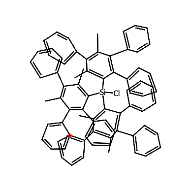 Cc1c(-c2ccccc2)c(C)c([Si](Cl)(c2c(C)c(-c3ccccc3)c(C)c(-c3ccccc3)c2-c2ccccc2)c2c(C)c(-c3ccccc3)c(C)c(-c3ccccc3)c2-c2ccccc2)c(-c2ccccc2)c1-c1ccccc1